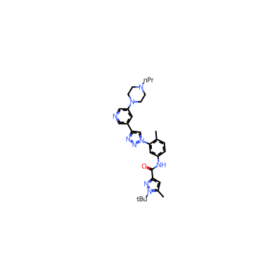 CCCN1CCN(c2cncc(-c3cn(-c4cc(NC(=O)c5cc(C)n(C(C)(C)C)n5)ccc4C)nn3)c2)CC1